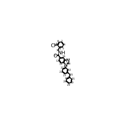 O=C(NCc1ccccc1Cl)c1ccc2c(c1)ncn2-c1cccc(Cc2ccccc2)c1